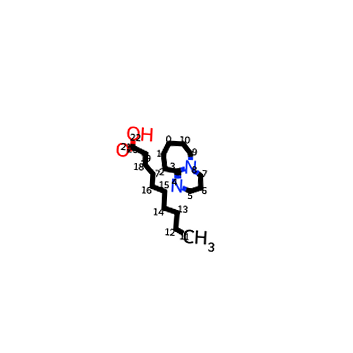 C1CCC2=NCCCN2CC1.CCCCCCCCCC(=O)O